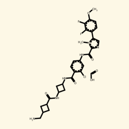 COc1ccc(-c2cnc(C(=O)Nc3ccc(C(=O)NC4CC(NC(=O)C5CC(CN)C5)C4)c(Cl)c3)n2C)c(F)c1F.O=CO